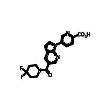 O=C(O)c1ccc(-n2ccc3cc(C(=O)N4CCC(F)(F)CC4)cnc32)cn1